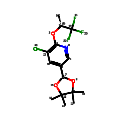 C[C@@H](Oc1ncc(B2OC(C)(C)C(C)(C)O2)cc1Cl)C(F)(F)F